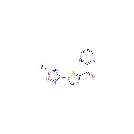 O=C(c1ncccn1)c1ccc(-c2noc(C(F)(F)F)n2)s1